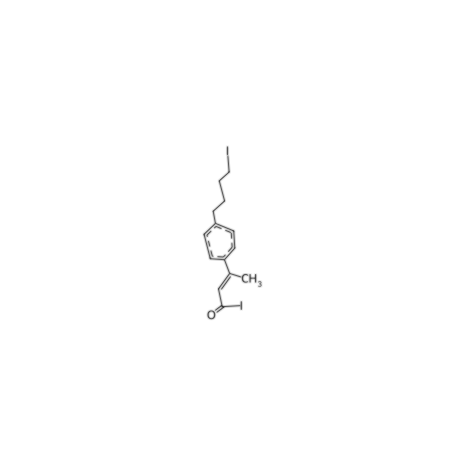 C/C(=C\C(=O)I)c1ccc(CCCCI)cc1